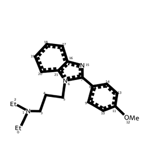 CCN(CC)CCCn1c(-c2ccc(OC)cc2)nc2ccccc21